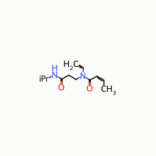 C=CN(CCC(=O)NC(C)C)C(=O)/C=C\C